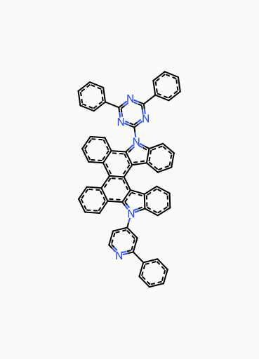 c1ccc(-c2cc(-n3c4ccccc4c4c5c(c6ccccc6c43)c3ccccc3c3c5c4ccccc4n3-c3nc(-c4ccccc4)nc(-c4ccccc4)n3)ccn2)cc1